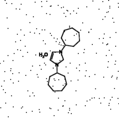 C1=CN(C2CCCCCC2)CN1C1CCCCCC1.O